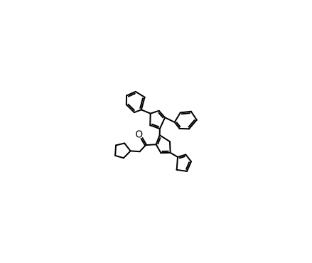 O=C(CC1CCCC1)C1=C(C2=CC(c3ccccc3)C=C2c2ccccc2)CC(C2=CC=CC2)=C1